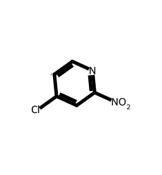 O=[N+]([O-])c1cc(Cl)[c]cn1